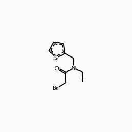 CCN(Cc1cccs1)C(=O)CBr